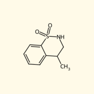 CC1CNS(=O)(=O)c2ccccc21